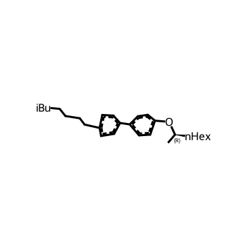 CCCCCC[C@@H](C)Oc1ccc(-c2ccc(CCCCC(C)CC)cc2)cc1